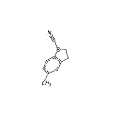 Cc1ccc2c(c1)CCB2C#N